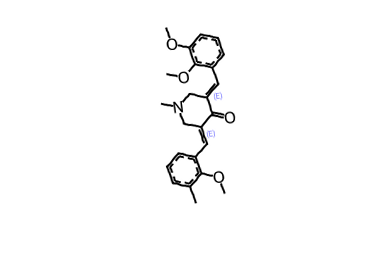 COc1cccc(/C=C2\CN(C)C/C(=C\c3cccc(C)c3OC)C2=O)c1OC